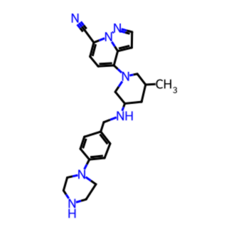 CC1CC(NCc2ccc(N3CCNCC3)cc2)CN(c2ccc(C#N)n3nccc23)C1